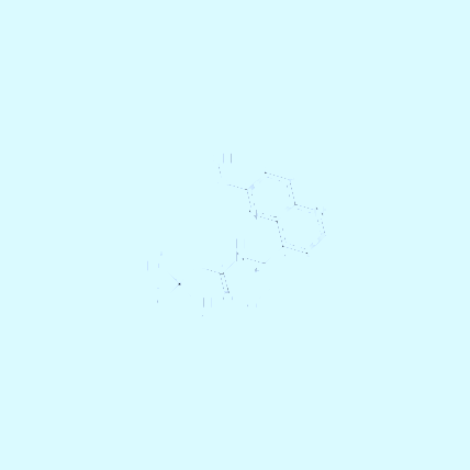 COc1ccc2nccc([C@H](CO)NC(=O)OC(C)(C)C)c2n1